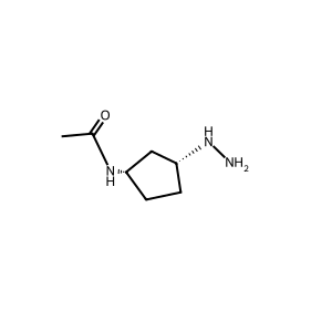 CC(=O)N[C@H]1CC[C@@H](NN)C1